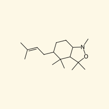 CC(C)=CCC1CCC2C(C(C)(C)ON2C)C1(C)C